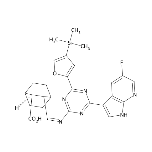 C[Si](C)(C)c1coc(-c2nc(/N=C\C3C4CCC(CC4)[C@@H]3C(=O)O)nc(-c3c[nH]c4ncc(F)cc34)n2)c1